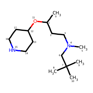 CC(CCN(C)CC(C)(C)C)OC1CCNCC1